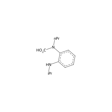 CCCN(C(=O)O)c1ccccc1NC(C)C